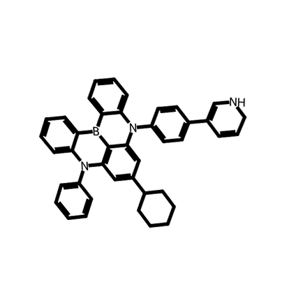 C1=CC(c2ccc(N3c4ccccc4B4c5ccccc5N(c5ccccc5)c5cc(C6CCCCC6)cc3c54)cc2)=CNC1